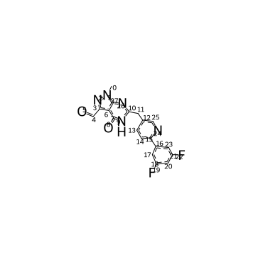 Cn1nc(C=O)c2c(=O)[nH]c(Cc3ccc(-c4cc(F)cc(F)c4)nc3)nc21